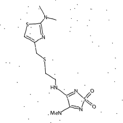 CNC1=NS(=O)(=O)N=C1NCCSCc1csc(N(C)C)n1